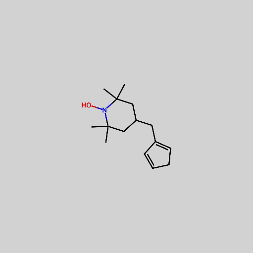 CC1(C)CC(CC2=CCC=C2)CC(C)(C)N1O